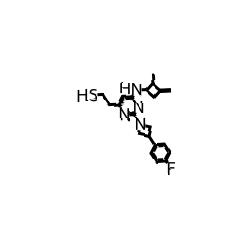 C=C1CC(Nc2cc(CCS)nc(N3CC(c4ccc(F)cc4)C3)n2)C1C